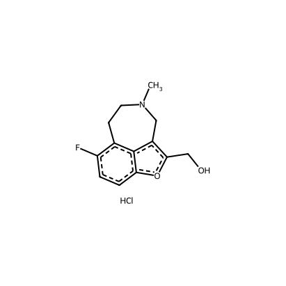 CN1CCc2c(F)ccc3oc(CO)c(c23)C1.Cl